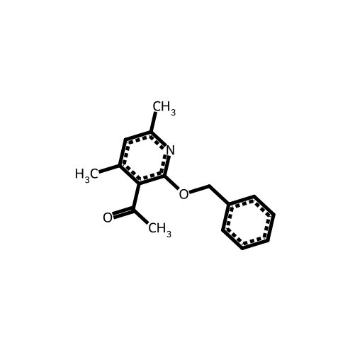 CC(=O)c1c(C)cc(C)nc1OCc1ccccc1